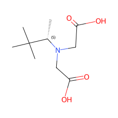 C[C@H](N(CC(=O)O)CC(=O)O)C(C)(C)C